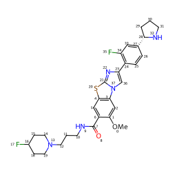 COc1cc2c(cc1C(=O)NCCCN1CCC(F)CC1)sc1nc(-c3ccc([C@@H]4CCCN4)cc3F)cn12